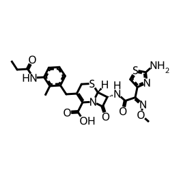 CCC(=O)Nc1cccc(CC2=C(C(=O)O)N3C(=O)[C@@H](NC(=O)/C(=N\OC)c4csc(N)n4)[C@H]3SC2)c1C